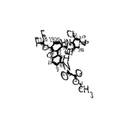 CCOC(=O)C(=O)Nc1ccc2oc3c(OC(F)F)ccc(C(=O)Nc4c(Cl)cncc4Cl)c3c2c1